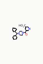 O=C(O)c1cncc(C(=O)N2CCN(C(c3ccccc3)c3ccccc3)CC2)c1